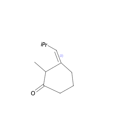 CC(C)/C=C1/CCCC(=O)C1C